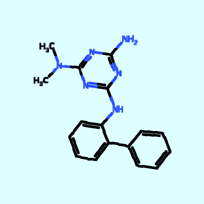 CN(C)c1nc(N)nc(Nc2ccccc2-c2ccccc2)n1